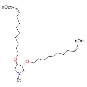 CCCCCCCC/C=C\CCCCCCCCO[C@@H]1CN(CC)C[C@H]1OCCCCCCCC/C=C\CCCCCCCC